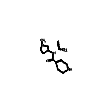 CN1CCC(NC(=O)C2CCNCC2)C1.O=CO